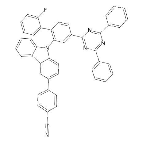 N#Cc1ccc(-c2ccc3c(c2)c2ccccc2n3-c2cc(-c3nc(-c4ccccc4)nc(-c4ccccc4)n3)ccc2-c2ccccc2F)cc1